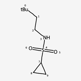 CC(C)(C)CCNS(=O)(=O)C1CC1